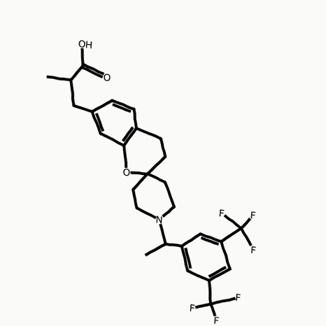 CC(Cc1ccc2c(c1)OC1(CC2)CCN(C(C)c2cc(C(F)(F)F)cc(C(F)(F)F)c2)CC1)C(=O)O